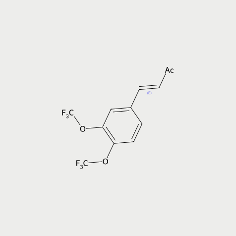 CC(=O)/C=C/c1ccc(OC(F)(F)F)c(OC(F)(F)F)c1